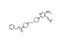 CN(C)/C=C/c1cc(N2CCC(CCN3CCN(C(=O)OCc4ccccc4)CC3)CC2)ncc1[N+](=O)[O-]